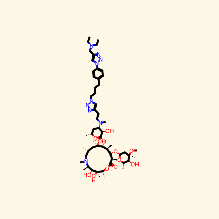 CCN(CC)Cc1cn(-c2ccc(CCCCn3cc(CCN(C)[C@H]4C[C@@H](C)O[C@@H](O[C@@H]5[C@@H](C)[C@H](O[C@H]6C[C@@](C)(OC)[C@@H](O)[C@H](C)O6)[C@@H](C)C(=O)O[C@H](I)[C@@](C)(O)[C@H](O)[C@@H](C)N(C)C[C@H](C)C[C@@]5(C)O)[C@@H]4O)nn3)cc2)nn1